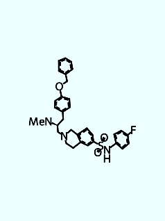 CN[C@@H](Cc1ccc(OCc2ccccc2)cc1)CN1CCc2cc(S(=O)(=O)Nc3ccc(F)cc3)ccc2C1